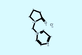 O=C1CCCN1C[n+]1ccncc1.[Cl-]